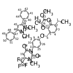 CCc1ccc(COc2ccc(-n3c(=O)cc(C(F)(F)F)n(C)c3=O)cc2)c(OC(C)C(=O)OC)c1.Cn1c(-c2ccccc2)cc(-c2ccccc2)[n+]1C